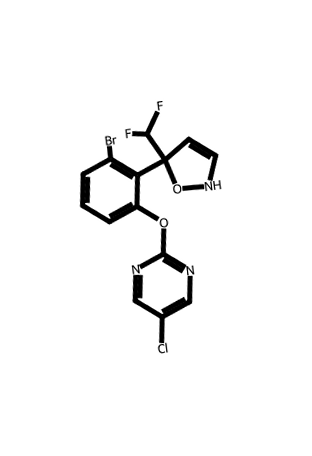 FC(F)C1(c2c(Br)cccc2Oc2ncc(Cl)cn2)C=CNO1